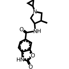 CC1CN(C2CC2)CC1NC(=O)c1ccc2[nH]c(=O)oc2c1